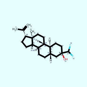 C=C(C)[C@H]1CC[C@H]2[C@@H]3CC[C@H]4C[C@@](O)(C(F)F)CC[C@@H]4[C@H]3CC[C@]12C